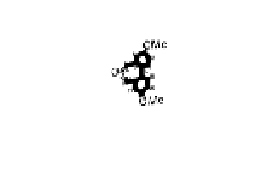 COc1ccc2c(c1)C[S+]([O-])Cc1cc(OC)ccc1-2